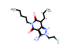 CCCCCN1C(=O)c2c(nn(CCCl)c2N)C(CCC)C1=O